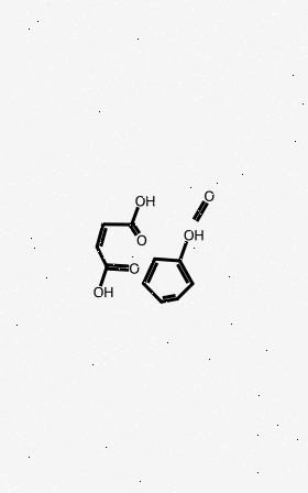 C=O.O=C(O)/C=C\C(=O)O.Oc1ccccc1